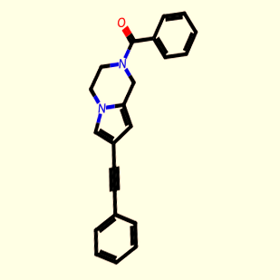 O=C(c1ccccc1)N1CCn2cc(C#Cc3ccccc3)cc2C1